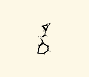 C1CCC(OC[C@H]2CO2)CC1